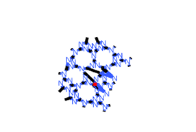 Cc1nc2nc(n1)n1c3nc(C)nc(n3)n(C)c3nc(N(C)C)nc(n3)n3c4nc(N(C)C)nc(n4)n4c5nc(N(C)C)nc(n5)n(C)c5nc(C)nc(n5)n5c6nc(C)nc(n6)n(C)c6nc(nc(n6)n2C)N(c2nc-1nc-3n2)c1nc-5nc-4n1